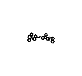 C1=CC2=C(CC1)N(c1ccc3c(c1)C1(CCCC1)c1cc(/C=C/c4cccc5c(N6c7ccccc7C=Cc7ccccc76)cccc45)ccc1-3)CCC2